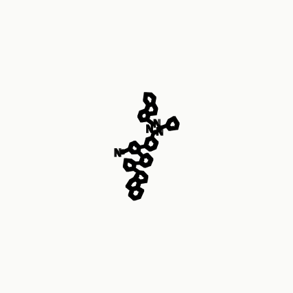 N#Cc1ccc(-c2cccc(-c3nc(-c4ccccc4)nc(-c4cccc5c4ccc4ccccc45)n3)c2)c(-c2ccccc2-c2ccccc2-c2cccc3c2ccc2ccccc23)c1